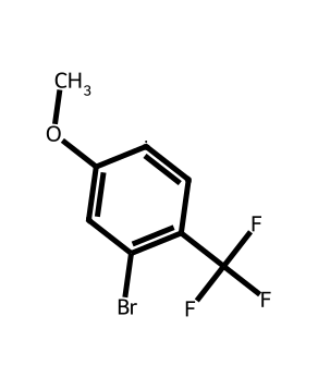 COc1[c]cc(C(F)(F)F)c(Br)c1